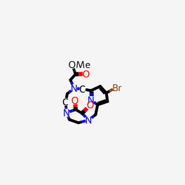 COC(=O)CN1CCN2CCN(Cc3cc(Br)cc(n3)C1)C(=O)C2=O